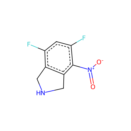 O=[N+]([O-])c1c(F)cc(F)c2c1CNC2